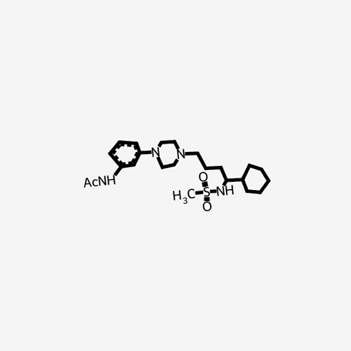 CC(=O)Nc1cccc(N2CCN(CCCC(NS(C)(=O)=O)C3CCCCC3)CC2)c1